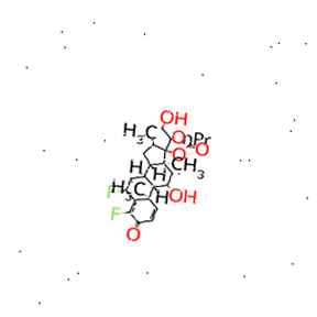 CCCC(=O)O[C@]1(C(=O)CO)C(C)C[C@H]2[C@@H]3CC(F)C4=C(F)C(=O)C=C[C@]4(C)[C@H]3C(O)C[C@@]21C